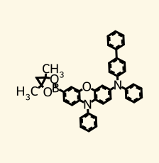 CC12CC1(C)OB(c1ccc3c(c1)Oc1cc(N(c4ccccc4)c4ccc(-c5ccccc5)cc4)ccc1N3c1ccccc1)O2